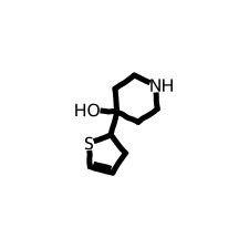 OC1(C2CC=CS2)CCNCC1